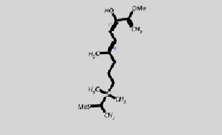 C=C(OC)/C(O)=C\C=C(/C)CCCS(C)(C)C(C)SC